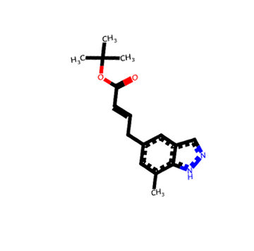 Cc1cc(CC=CC(=O)OC(C)(C)C)cc2cn[nH]c12